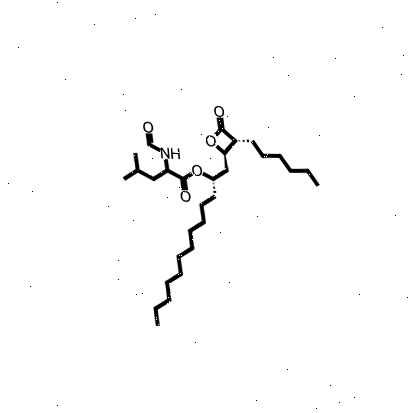 CCCCCCCCCCC[C@@H](C[C@H]1OC(=O)[C@@H]1CCCCCC)OC(=O)C(CC(C)C)NC=O